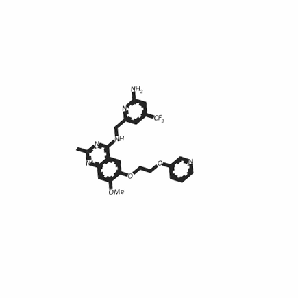 COc1cc2nc(C)nc(NCc3cc(C(F)(F)F)cc(N)n3)c2cc1OCCOc1cccnc1